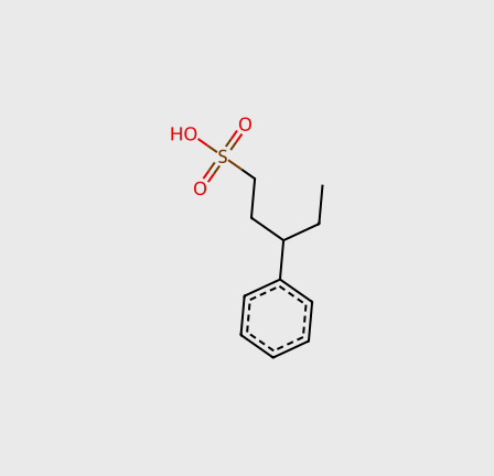 CCC(CCS(=O)(=O)O)c1ccccc1